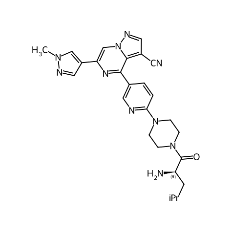 CC(C)C[C@@H](N)C(=O)N1CCN(c2ccc(-c3nc(-c4cnn(C)c4)cn4ncc(C#N)c34)cn2)CC1